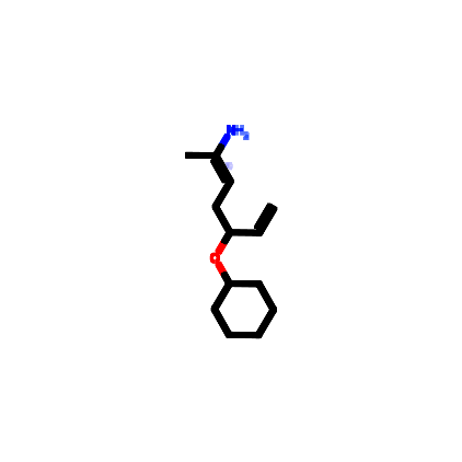 C=CC(C/C=C(\C)N)OC1CCCCC1